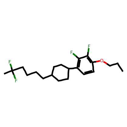 CCCOc1ccc(C2CCC(CCCCC(C)(F)F)CC2)c(F)c1F